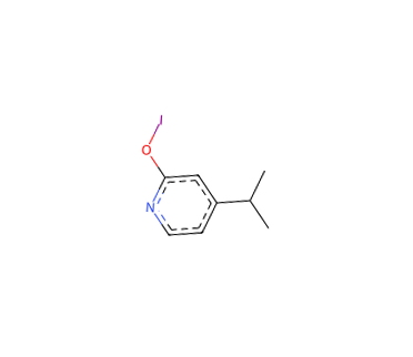 CC(C)c1ccnc(OI)c1